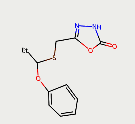 CCC(Oc1ccccc1)SCc1n[nH]c(=O)o1